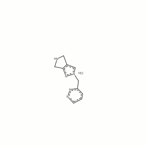 Cl.c1cnnc(Cn2cc3c(n2)CNC3)c1